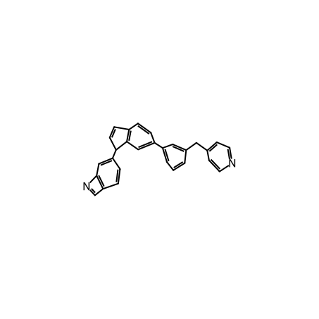 C1=CC(c2ccc3c(c2)N=C3)c2cc(-c3cccc(Cc4ccncc4)c3)ccc21